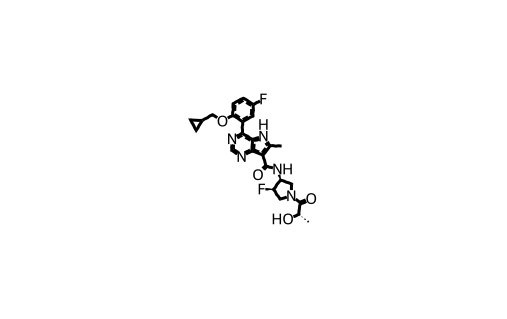 Cc1[nH]c2c(-c3cc(F)ccc3OCC3CC3)ncnc2c1C(=O)N[C@H]1CN(C(=O)[C@H](C)O)C[C@H]1F